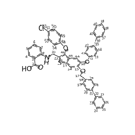 O=C(O)c1ccccc1NCc1sc2cc(OCc3ccc(-c4ccccc4)cc3)c(Oc3ccc(-c4ccccc4)cc3)cc2c1Oc1ccc(Cl)cc1